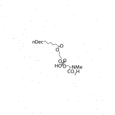 CCCCCCCCCCCCCCCC(=O)OCCCOP(=O)(O)OCC(NC)C(=O)O